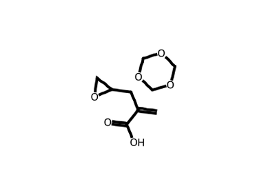 C1OCOCO1.C=C(CC1CO1)C(=O)O